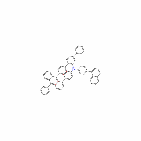 c1ccc(-c2ccc(N(c3ccc(-c4cccc5ccccc45)cc3)c3cc(-c4ccccc4)ccc3-c3ccc(-c4ccc(-c5ccccc5)c5ccccc45)cc3)cc2)cc1